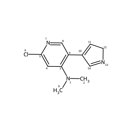 CN(C)c1cc(Cl)ncc1C1=CCN=C1